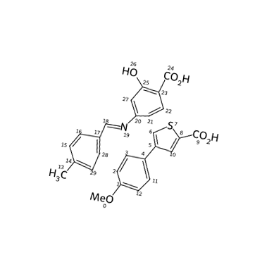 COc1ccc(-c2csc(C(=O)O)c2)cc1.Cc1ccc(C=Nc2ccc(C(=O)O)c(O)c2)cc1